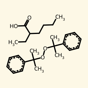 CC(C)(OOC(C)(C)c1ccccc1)c1ccccc1.CCCCC(CC)C(=O)O